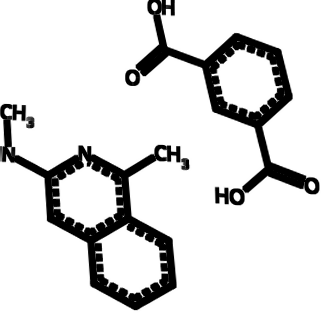 CNc1cc2ccccc2c(C)n1.O=C(O)c1cccc(C(=O)O)c1